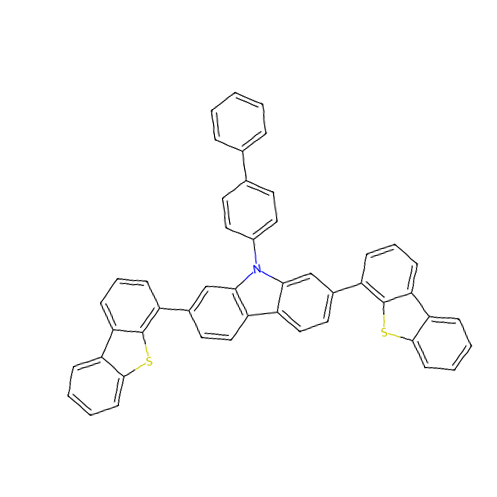 c1ccc(-c2ccc(-n3c4cc(-c5cccc6c5sc5ccccc56)ccc4c4ccc(-c5cccc6c5sc5ccccc56)cc43)cc2)cc1